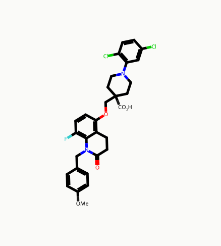 COc1ccc(CN2C(=O)CCc3c(OCC4(C(=O)O)CCN(c5cc(Cl)ccc5Cl)CC4)ccc(F)c32)cc1